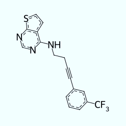 FC(F)(F)c1cccc(C#CCCNc2ncnc3sccc23)c1